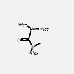 CCCCCCN(C)C(=O)N(CCCCCC)CCCCCC